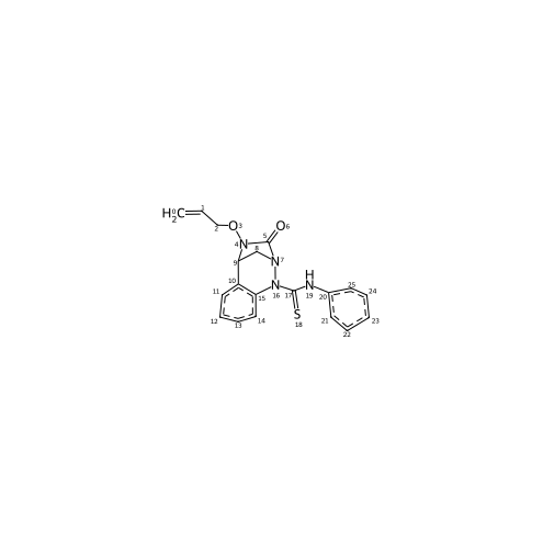 C=CCON1C(=O)N2CC1c1ccccc1N2C(=S)Nc1ccccc1